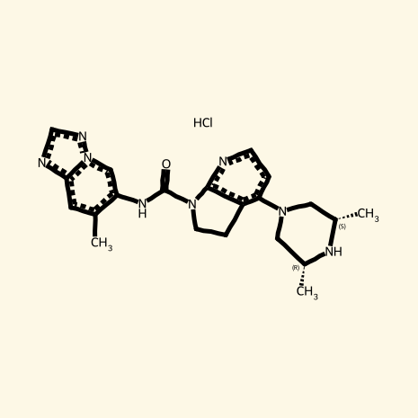 Cc1cc2ncnn2cc1NC(=O)N1CCc2c(N3C[C@@H](C)N[C@@H](C)C3)ccnc21.Cl